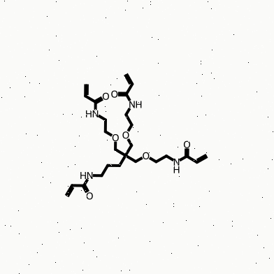 C=CC(=O)NCCCC(COCCNC(=O)C=C)(COCCNC(=O)C=C)COCCNC(=O)C=C